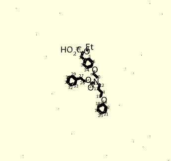 CCOC(Cc1ccc(OCCN(CCCCOc2ccccc2)C(=O)OCCc2ccccc2)cc1)C(=O)O